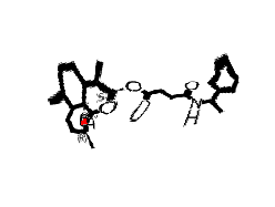 CC(NC(=O)CCC(=O)O[C@@H]1O[C@@H]2O[C@@]3(C)CCC4C(C)CCC(C1C)[C@]42OO3)c1ccccc1